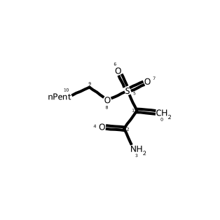 C=C(C(N)=O)S(=O)(=O)OCCCCCC